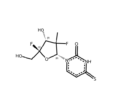 CC1(F)[C@@H](O)[C@@](F)(CO)O[C@H]1n1ccc(=S)[nH]c1=O